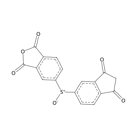 O=C1CC(=O)c2cc([S+]([O-])c3ccc4c(c3)C(=O)OC4=O)ccc21